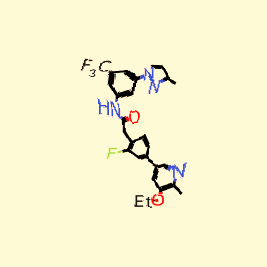 CCOc1cc(-c2ccc(CC(=O)Nc3cc(-n4ccc(C)n4)cc(C(F)(F)F)c3)c(F)c2)cnc1C